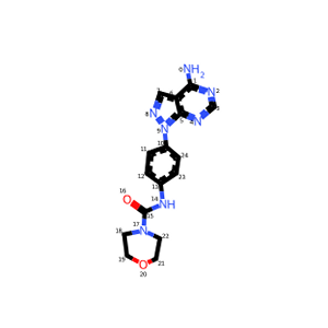 Nc1ncnc2c1cnn2-c1ccc(NC(=O)N2CCOCC2)cc1